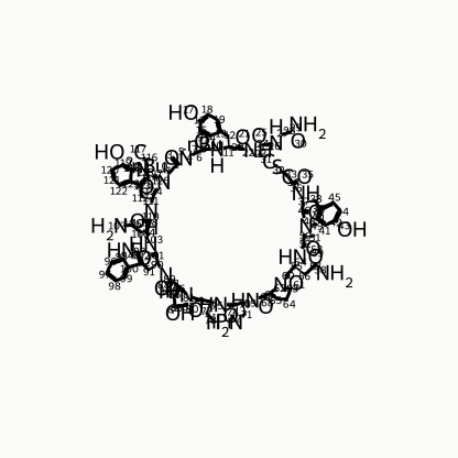 CCCC[C@H]1C(=O)N(C)[C@@H](CCCC)C(=O)N[C@@H](Cc2ccc(O)cc2)C(=O)N[C@H](C(=O)NCC(N)=O)CSCC(=O)N[C@@H](Cc2ccc(O)cc2)C(=O)N(C)[C@@H](C)C(=O)N[C@@H](CC(N)=O)C(=O)N2CCCC2C(=O)N[C@@H](CN)C(=O)N[C@@H](CC(C)C)C(=O)N2C[C@H](O)C[C@H]2C(=O)N[C@@H](Cc2c[nH]c3ccccc23)C(=O)N[C@@H](CCN)C(=O)N[C@@H](Cc2cn(CC(=O)O)c3ccccc23)C(=O)N1C